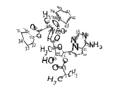 CC(C)C(=O)O[C@H]1[C@H](c2ccc3c(N)ncnn23)O[C@](C)(CO[P@@](=O)(N[C@@H](C)C(=O)OC2CCCCC2)Oc2ccccc2)[C@H]1O